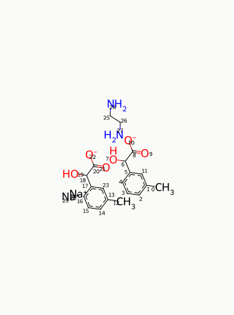 Cc1cccc(C(O)C(=O)[O-])c1.Cc1cccc(C(O)C(=O)[O-])c1.NCCN.[Na+].[Na+]